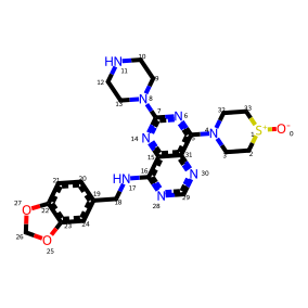 [O-][S+]1CCN(c2nc(N3CCNCC3)nc3c(NCc4ccc5c(c4)OCO5)ncnc23)CC1